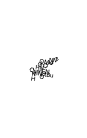 COC(=O)c1cc(-c2ccc(N3CCCC3)nc2)ccc1NC(C#N)C(Cc1c[nH]c2ccccc12)NC(=O)OC(C)(C)C